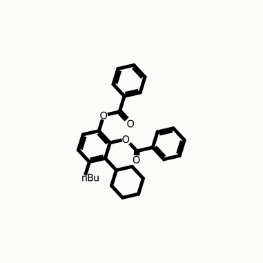 CCCCc1ccc(OC(=O)c2ccccc2)c(OC(=O)c2ccccc2)c1C1CCCCC1